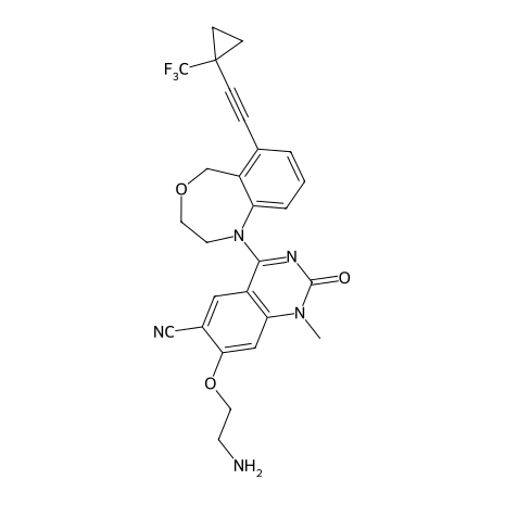 Cn1c(=O)nc(N2CCOCc3c(C#CC4(C(F)(F)F)CC4)cccc32)c2cc(C#N)c(OCCN)cc21